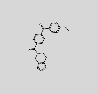 COc1ccc(C(=O)c2ccc(C(=O)N3CCc4occc4C3)cc2)cc1